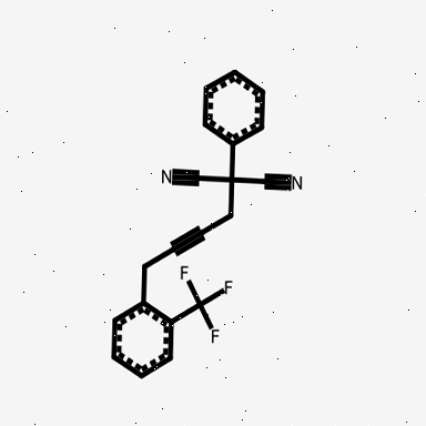 N#CC(C#N)(CC#CCc1ccccc1C(F)(F)F)c1ccccc1